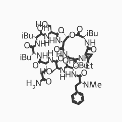 CCC1CC12NC(=O)[C@H](C)NC(=O)[C@H](NC(=O)[C@H](CO)NC(O)[C@@H](NC(=O)[C@H](NC(=O)[C@@H](CCC(N)=O)NC(=O)[C@H](CO)NC(O)[C@@H](NC(=O)[C@@H](Cc1ccccc1)NC)[C@@H](C)CC)[C@@H](C)CC)[C@@H](C)CC)[C@H](C)OC(=O)[C@H]([C@@H](C)CC)NC2=O